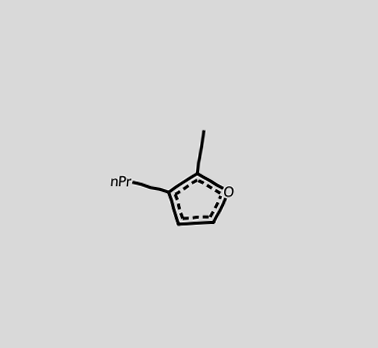 CCCc1ccoc1C